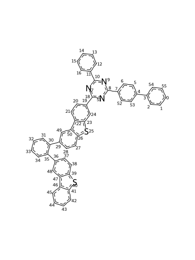 c1ccc(-c2ccc(-c3nc(-c4ccccc4)nc(-c4ccc5c(c4)sc4ccc(-c6ccccc6-c6ccc7sc8ccccc8c7c6)cc45)n3)cc2)cc1